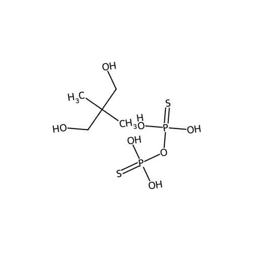 CC(C)(CO)CO.OP(O)(=S)OP(O)(O)=S